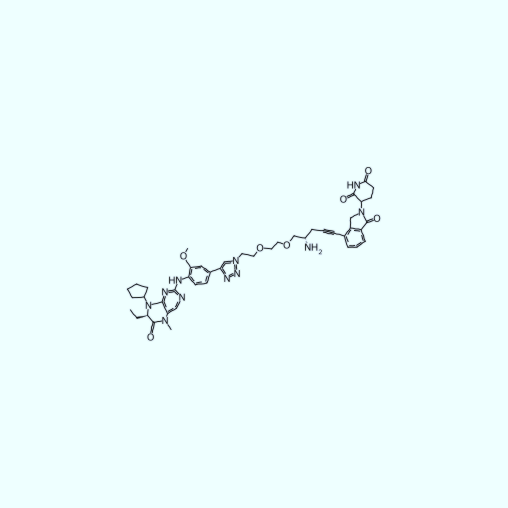 CC[C@@H]1C(=O)N(C)c2cnc(Nc3ccc(-c4cn(CCOCCOC[C@@H](N)CC#Cc5cccc6c5CN(C5CCC(=O)NC5=O)C6=O)nn4)cc3OC)nc2N1C1CCCC1